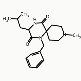 CC(C)CC1NC(=O)C2(CCN(C)CC2)N(Cc2ccccc2)C1=O